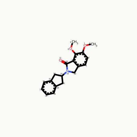 COc1ccc2c(c1OC)C(=O)N(C1Cc3ccccc3C1)C2